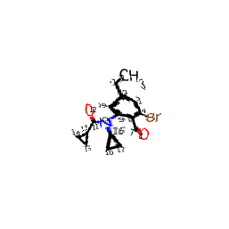 C[CH]c1cc(Br)c(C=O)c(N(C(=O)C2CC2)C2CC2)c1